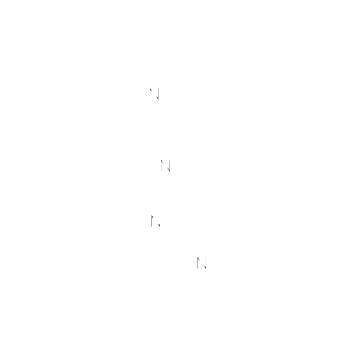 CC(C)c1cncc(CC(C)c2cncnc2)n1